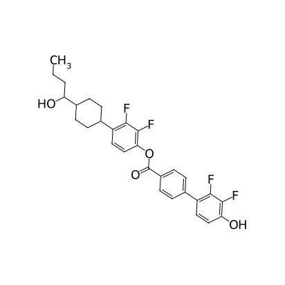 CCCC(O)C1CCC(c2ccc(OC(=O)c3ccc(-c4ccc(O)c(F)c4F)cc3)c(F)c2F)CC1